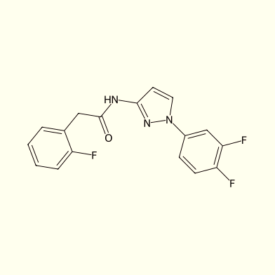 O=C(Cc1ccccc1F)Nc1ccn(-c2ccc(F)c(F)c2)n1